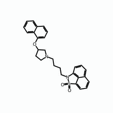 O=S1(=O)c2cccc3cccc(c23)N1CCCCN1CCC(Oc2cccc3ccccc23)C1